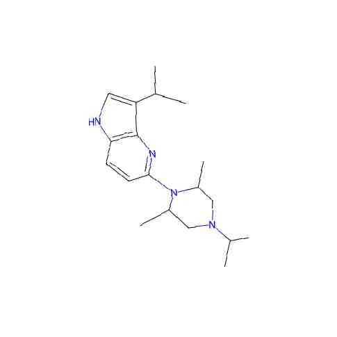 CC(C)c1c[nH]c2ccc(N3C(C)CN(C(C)C)CC3C)nc12